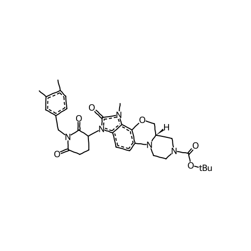 Cc1ccc(CN2C(=O)CCC(n3c(=O)n(C)c4c5c(ccc43)N3CCN(C(=O)OC(C)(C)C)C[C@H]3CO5)C2=O)cc1C